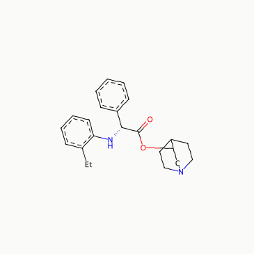 CCc1ccccc1N[C@@H](C(=O)OC1CN2CCC1CC2)c1ccccc1